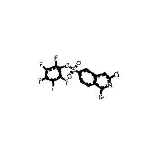 O=S(=O)(Oc1c(F)c(F)c(F)c(F)c1F)c1ccc2c(Br)nc(Cl)cc2c1